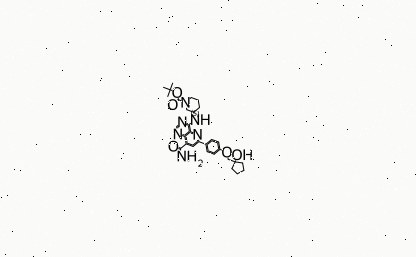 CC(C)(C)OC(=O)N1CCC[C@H](Nc2ncnc3c(C(N)=O)cc(-c4ccc(OCC5(O)CCCC5)cc4)nc23)C1